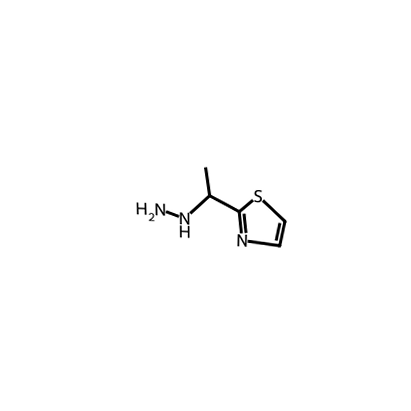 CC(NN)c1nccs1